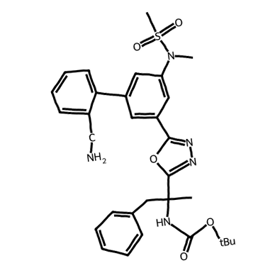 CN(c1cc(-c2nnc(C(C)(Cc3ccccc3)NC(=O)OC(C)(C)C)o2)cc(-c2ccccc2CN)c1)S(C)(=O)=O